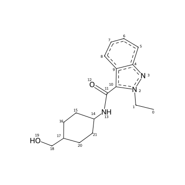 CCn1nc2ccccc2c1C(=O)NC1CCC(CO)CC1